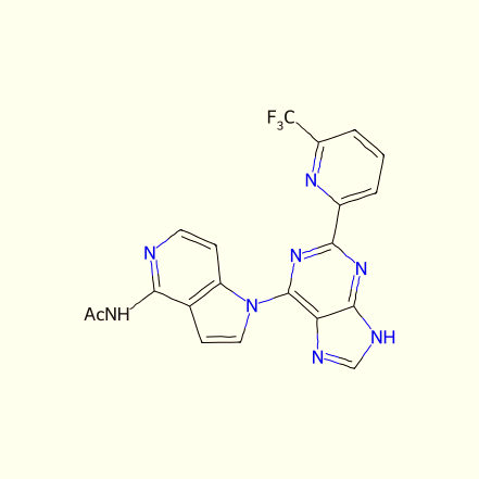 CC(=O)Nc1nccc2c1ccn2-c1nc(-c2cccc(C(F)(F)F)n2)nc2[nH]cnc12